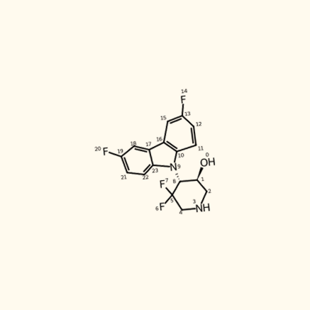 O[C@H]1CNCC(F)(F)[C@@H]1n1c2ccc(F)cc2c2cc(F)ccc21